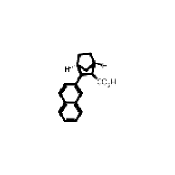 O=C(O)C1C(c2ccc3ccccc3c2)[C@H]2CC[C@H]1C2